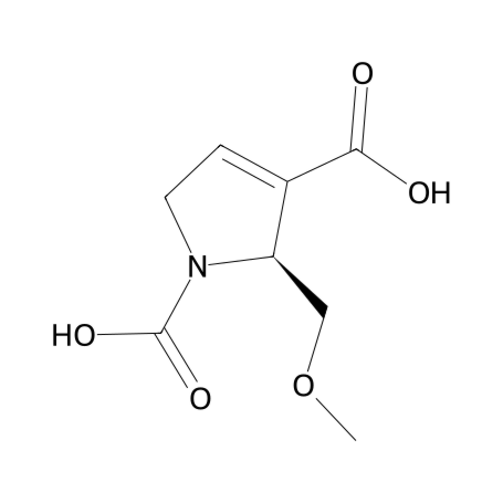 COC[C@@H]1C(C(=O)O)=CCN1C(=O)O